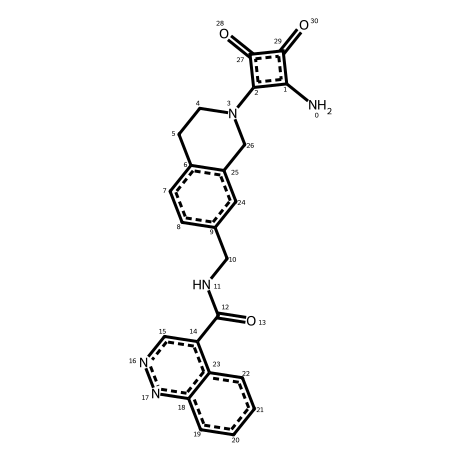 Nc1c(N2CCc3ccc(CNC(=O)c4cnnc5ccccc45)cc3C2)c(=O)c1=O